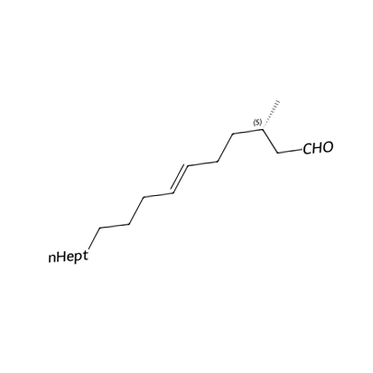 CCCCCCCCCCC=CCC[C@H](C)CC=O